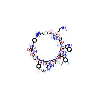 COc1ccc(C[C@@H]2NC(=O)[C@H](Cc3cnc[nH]3)NC(=O)[C@H](CC(=O)O)NC(=O)[C@H](Cc3c[nH]c4cc(F)ccc34)NC(=O)[C@H](Cc3c[nH]c4ccc(F)cc34)NC(=O)[C@@H](C)NC(=O)[C@H](CCCCN)NC(=O)CCCc3cn(nn3)-c3ccc(cc3)C[C@@H](C(N)=O)NC(=O)[C@]3(C)CCCN3C2=O)cc1